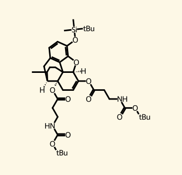 CC1CCC23c4c5ccc(O[Si](C)(C)C(C)(C)C)c4O[C@H]2C(OC(=O)CCNC(=O)OC(C)(C)C)=CC[C@@]3(OC(=O)CCNC(=O)OC(C)(C)C)[C@H]1C5